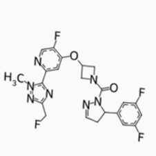 Cn1nc(CF)nc1-c1cc(OC2CN(C(=O)N3N=CCC3c3cc(F)cc(F)c3)C2)c(F)cn1